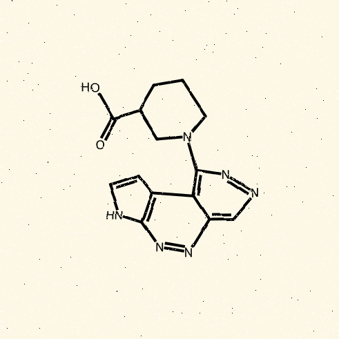 O=C(O)C1CCCN(c2nncc3nnc4[nH]ccc4c23)C1